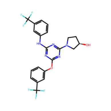 O[C@@H]1CCN(c2nc(Nc3cccc(C(F)(F)F)c3)nc(Oc3cccc(C(F)(F)F)c3)n2)C1